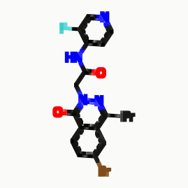 CC(C)c1nn(CC(=O)Nc2ccncc2F)c(=O)c2ccc(Br)cc12